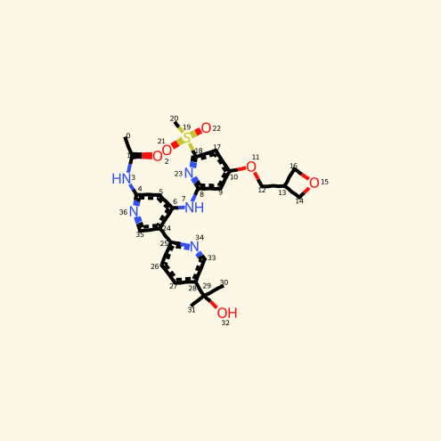 CC(=O)Nc1cc(Nc2cc(OCC3COC3)cc(S(C)(=O)=O)n2)c(-c2ccc(C(C)(C)O)cn2)cn1